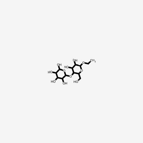 CCOC1OC(CO)C(OC2OC(O)C(O)C(O)C2O)C(O)C1O